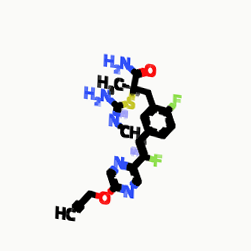 C#CCOc1cnc(/C(F)=C/c2ccc(F)c(C[C@@](C)(S/C(N)=N\C)C(N)=O)c2)cn1